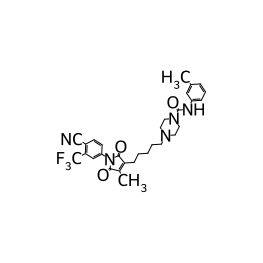 CC1=C(CCCCCN2CCN(C(=O)Nc3cccc(C)c3)CC2)C(=O)N(c2ccc(C#N)c(C(F)(F)F)c2)C1=O